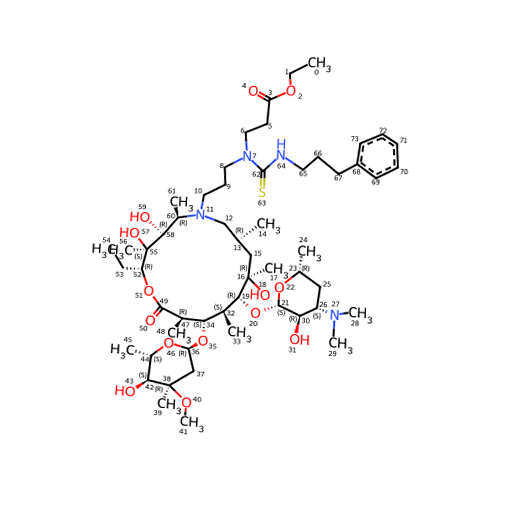 CCOC(=O)CCN(CCCN1C[C@H](C)C[C@@](C)(O)[C@H](O[C@@H]2O[C@H](C)C[C@H](N(C)C)[C@H]2O)[C@@H](C)[C@H](O[C@H]2C[C@@](C)(OC)[C@@H](O)[C@H](C)O2)[C@@H](C)C(=O)O[C@H](CC)[C@@](C)(O)[C@H](O)[C@H]1C)C(=S)NCCCc1ccccc1